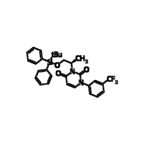 C[C@H](CO[Si](c1ccccc1)(c1ccccc1)C(C)(C)C)n1c(=O)ccn(-c2cccc(C(F)(F)F)c2)c1=O